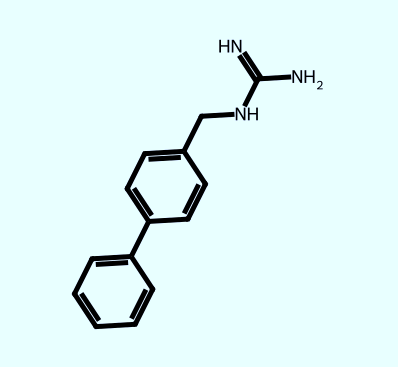 N=C(N)NCc1ccc(-c2ccccc2)cc1